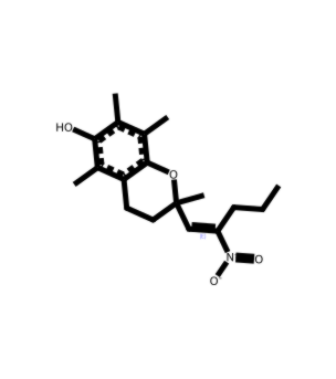 CCC/C(=C\C1(C)CCc2c(C)c(O)c(C)c(C)c2O1)[N+](=O)[O-]